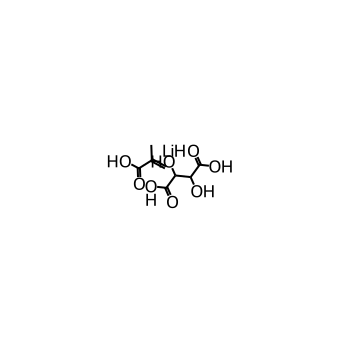 C=C(C)C(=O)O.O=C(O)C(O)C(O)C(=O)O.[LiH]